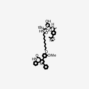 COc1cc(-c2cc(-c3ccccc3)nc3c2CC(=O)Nc2ccccc2-3)ccc1OCCCCCCCCCC(=O)N[C@H](C(=O)N1C[C@H](O)C[C@H]1C(=O)N[C@@H](C)c1ccc(-c2scnc2C)cc1)C(C)(C)C